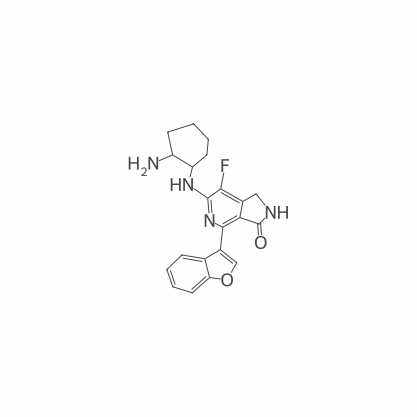 NC1CCCCC1Nc1nc(-c2coc3ccccc23)c2c(c1F)CNC2=O